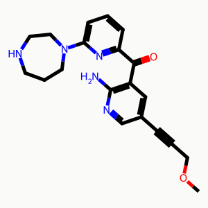 COCC#Cc1cnc(N)c(C(=O)c2cccc(N3CCCNCC3)n2)c1